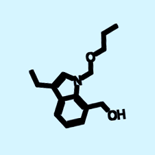 CCCOCn1cc(CC)c2cccc(CO)c21